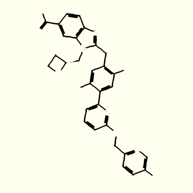 O=C(O)c1ccc2nc(Cc3cc(F)c(-c4cccc(OCc5ccc(Cl)cn5)n4)cc3F)n(C[C@@H]3CCO3)c2c1